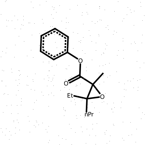 CCCC1(CC)OC1(C)C(=O)Oc1ccccc1